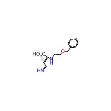 N=C/C=C(\NCCOCc1ccccc1)C(=O)O